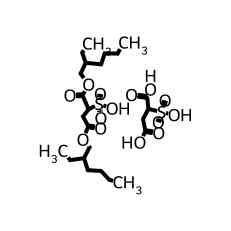 CCCCC(CC)COC(=O)CC(C(=O)OCC(CC)CCCC)S(=O)(=O)O.O=C(O)CC(C(=O)O)S(=O)(=O)O